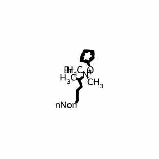 CCCCCCCCCCCCC(C)[N+](C)(C)Oc1ccccc1.[Br-]